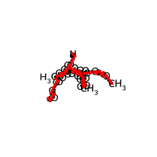 CCCCCCOC1CCC(c2ccc(OCCCCOC(=O)c3cc(N4C(=O)C5C6C(=O)N(c7cc(C(=O)OCCCCc8ccncc8)cc(N8C(=O)C9C%10C(=O)N(c%11cc(C)cc(C(=O)OCCCCCOc%12ccc(C(=O)c%13ccccc%13)cc%12)c%11)C(=O)C%10C9C8=O)c7)C(=O)C6C5C4=O)cc(-n4c(=O)c5cc6c(=O)n(C)c(=O)c6cc5c4=O)c3)cc2)CC1